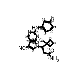 N#Cc1cn(C(CC(N)=O)C2(C(=O)O)CCC2)c2nc(Nc3cccc(F)c3)ncc12